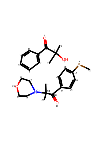 CC(C)(O)C(=O)c1ccccc1.CSc1ccc(C(=O)C(C)(C)N2CCOCC2)cc1